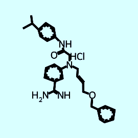 CC(C)c1ccc(NC(=O)CN(C/C=C/COCc2ccccc2)c2cccc(C(=N)N)c2)cc1.Cl